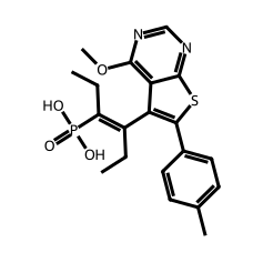 CCC(=C(CC)P(=O)(O)O)c1c(-c2ccc(C)cc2)sc2ncnc(OC)c12